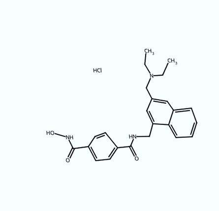 CCN(CC)Cc1cc(CNC(=O)c2ccc(C(=O)NO)cc2)c2ccccc2c1.Cl